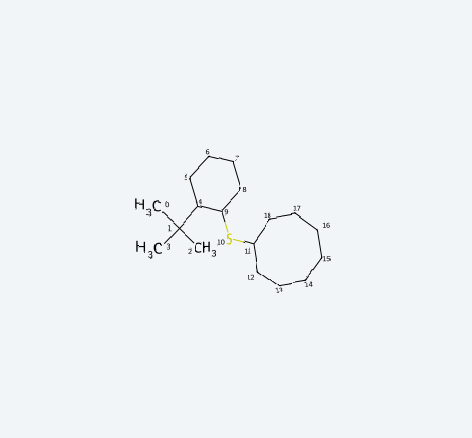 CC(C)(C)C1CCCCC1SC1CCCCCCC1